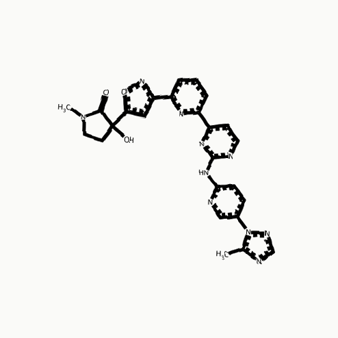 Cc1ncnn1-c1ccc(Nc2nccc(-c3cccc(-c4cc(C5(O)CCN(C)C5=O)on4)n3)n2)nc1